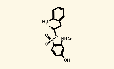 CC(=O)Nc1cc(O)ccc1[As](=O)(O)OC(=O)Cc1ccccc1C